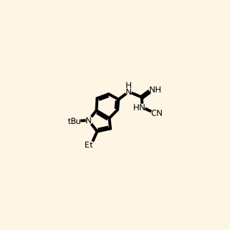 CCc1cc2cc(NC(=N)NC#N)ccc2n1C(C)(C)C